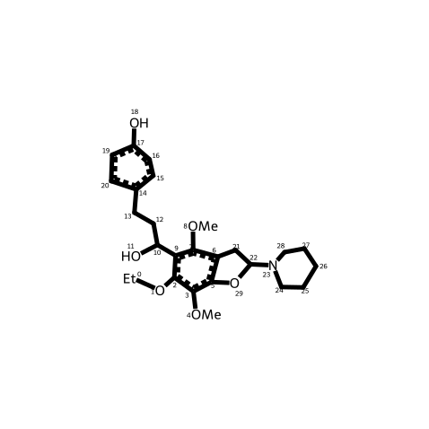 CCOc1c(OC)c2c(c(OC)c1C(O)CCc1ccc(O)cc1)CC(N1CCCCC1)O2